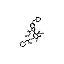 CC(C)(C)OC(=O)n1c(-c2cc(OCC(O)CN3CCCCC3)c(Cl)c3c2C(=O)NC3)cc2cc(CN3CCCCC3)ccc21